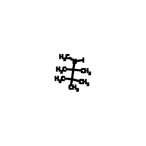 CN(I)C(C)(C)C(C)(C)C